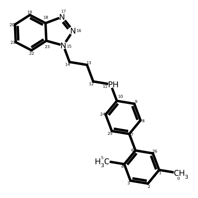 Cc1ccc(C)c(-c2ccc(PCCCn3nnc4ccccc43)cc2)c1